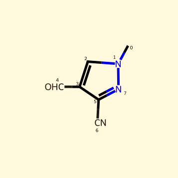 Cn1cc(C=O)c(C#N)n1